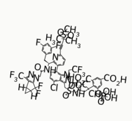 CC(C)(CC(=O)NS(=O)(=O)Cc1nn(CC(F)(F)F)c2c(-c3ccc(C#CC(C)(C)S(C)(=O)=O)nc3[C@H](Cc3cc(F)cc(F)c3)NC(=O)Cn3nc(C(F)(F)F)c4c3C(F)(F)[C@@H]3C[C@H]43)ccc(Cl)c12)c1c(OP(=O)(O)O)cc(C(=O)O)cc1C(=O)O